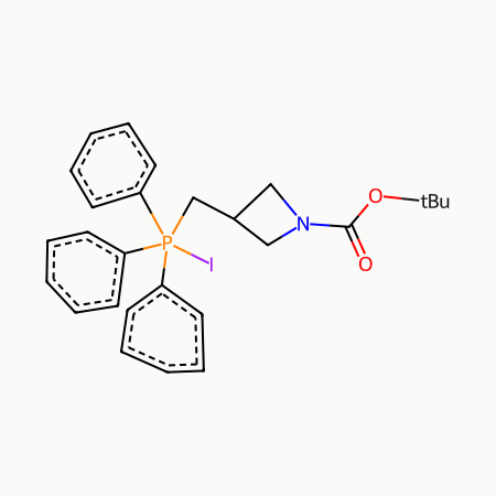 CC(C)(C)OC(=O)N1CC(CP(I)(c2ccccc2)(c2ccccc2)c2ccccc2)C1